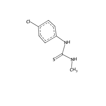 CNC(=S)Nc1ccc(Cl)cc1